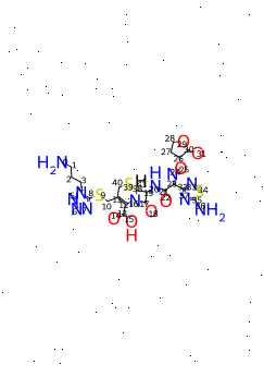 NCCCn1nnnc1SCC1=C(C(=O)O)N2C(=O)C(NC(=O)C(=NOC3CCOC3=O)c3nsc(N)n3)[C@@H]2SC1